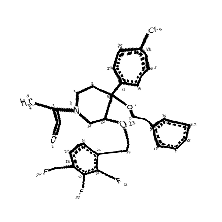 CC(=O)N1CCC(OCc2ccccc2)(c2ccc(Cl)cc2)C(OCc2ccc(F)c(F)c2F)C1